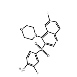 Cc1ccc(S(=O)(=O)c2cnc3ccc(F)cc3c2N2CCOCC2)cc1F